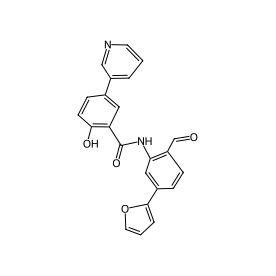 O=Cc1ccc(-c2ccco2)cc1NC(=O)c1cc(-c2cccnc2)ccc1O